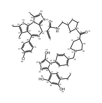 C=C(C(=O)NCC1CCN(C(=O)C2CCN(Cc3ccc(-n4c(O)nnc4-c4cc(CC)c(O)cc4O)cc3)CC2)C1)[C@@H]1N=C(c2ccc(Cl)cc2)c2c(sc(C)c2C)-n2c(C)nnc21